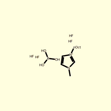 CCCCCCCC[n+]1ccn(C)c1.F.F.F.F.OB(O)O